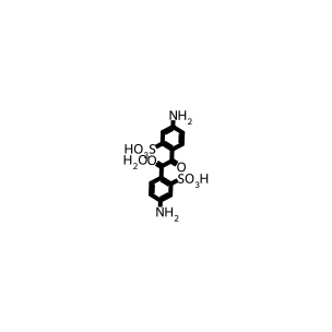 Nc1ccc(C(=O)C(=O)c2ccc(N)cc2S(=O)(=O)O)c(S(=O)(=O)O)c1.O